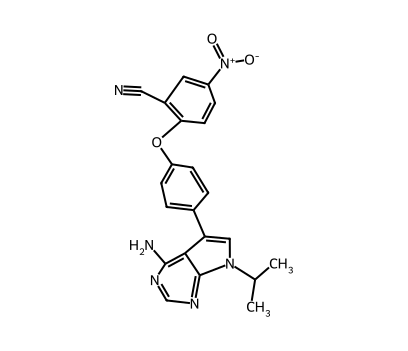 CC(C)n1cc(-c2ccc(Oc3ccc([N+](=O)[O-])cc3C#N)cc2)c2c(N)ncnc21